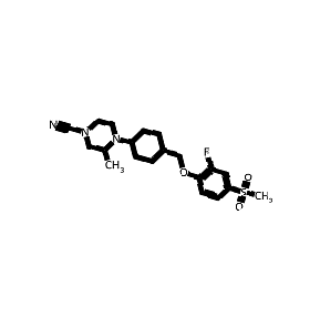 CC1CN(C#N)CCN1C1CCC(COc2ccc(S(C)(=O)=O)cc2F)CC1